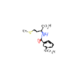 CCSCCC(NC(=O)c1cccc(S(=O)(=O)O)c1)C(=O)O